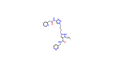 CN1NN(CCCCn2cc(NC(=O)Cc3ccccn3)nn2)C=C1C(=O)NCc1cccnc1